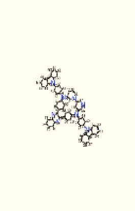 c1cncc(N(c2ccc(-c3nc4ccccc4nc3-c3ccc(N(c4ccc(-n5c6ccccc6c6ccccc65)cc4)c4cccnc4)cc3)cc2)c2ccc(-n3c4ccccc4c4ccccc43)cc2)c1